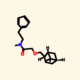 CN(CCc1ccccc1)C(=O)COC[C@H]1CC[C@H]2C[C@@H]1C2(C)C